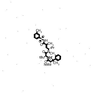 CN[C@H](C(=O)N[C@H](C(=O)N(C)[C@H](/C=C(\C)C(=O)NS(=O)(=O)c1cccc(C)c1)C(C)C)C(C)(C)C)C(C)(C)c1ccccc1